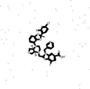 C[C@]1(c2ccc(Cl)cc2F)Oc2cccc(N3CCN(Cc4nc5c(F)cc(C(=O)O)cc5n4Cc4cccnc4)[C@H]4COC[C@H]43)c2O1